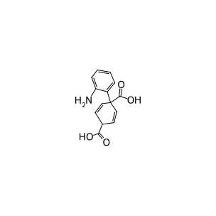 Nc1ccccc1C1(C(=O)O)C=CC(C(=O)O)C=C1